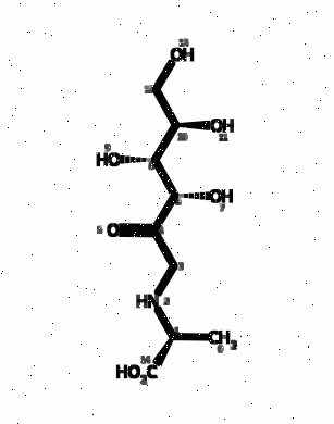 C[C@H](NCC(=O)[C@@H](O)[C@H](O)[C@H](O)CO)C(=O)O